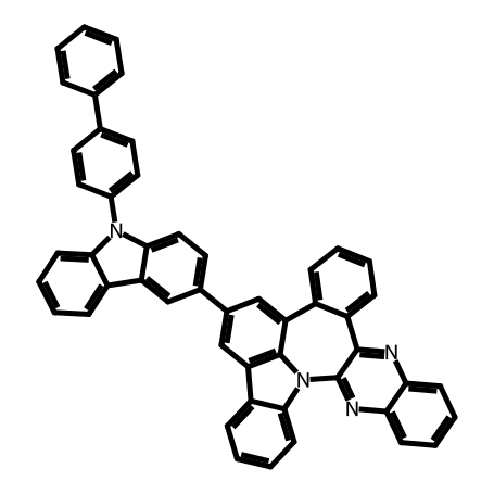 c1ccc(-c2ccc(-n3c4ccccc4c4cc(-c5cc6c7c(c5)c5ccccc5n7-c5nc7ccccc7nc5-c5ccccc5-6)ccc43)cc2)cc1